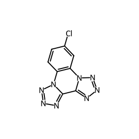 Clc1ccc2c(c1)n1nnnc1c1nnnn21